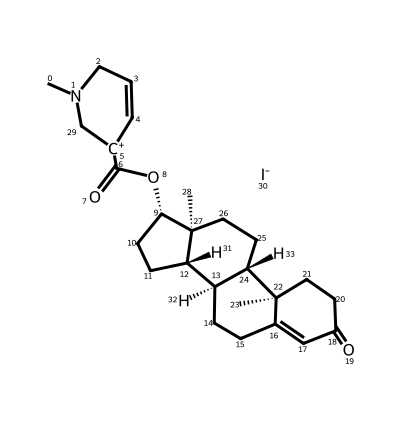 CN1CC=C[C+](C(=O)O[C@H]2CC[C@H]3[C@@H]4CCC5=CC(=O)CC[C@]5(C)[C@H]4CC[C@]23C)C1.[I-]